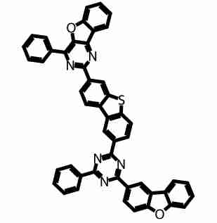 c1ccc(-c2nc(-c3ccc4oc5ccccc5c4c3)nc(-c3ccc4sc5cc(-c6nc(-c7ccccc7)c7oc8ccccc8c7n6)ccc5c4c3)n2)cc1